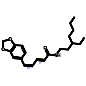 CCCCC(CC)CCNC(=O)/C=C/C=C\c1ccc2c(c1)OCO2